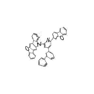 c1ccc(-c2cccc(-c3cc(-c4ccc5c(c4)oc4ccccc45)nc(-n4c5ccccc5c5cc6oc7ccccc7c6cc54)c3)c2)cc1